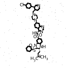 CN(C)CC[C@H](CSc1ccccc1)Nc1ccc(S(=O)(=O)Nc2ncnc3cc(N4CCN(Cc5ccncc5-c5ccc(Cl)cc5)CC4)ccc23)cc1[N+](=O)[O-]